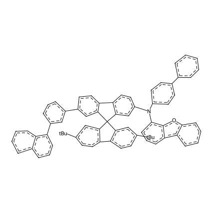 CC(C)(C)c1ccc2c(c1)C1(c3cc(-c4cccc(-c5cccc6ccccc56)c4)ccc3-c3ccc(N(c4ccc(-c5ccccc5)cc4)c4cccc5c4oc4ccccc45)cc31)c1cc(C(C)(C)C)ccc1-2